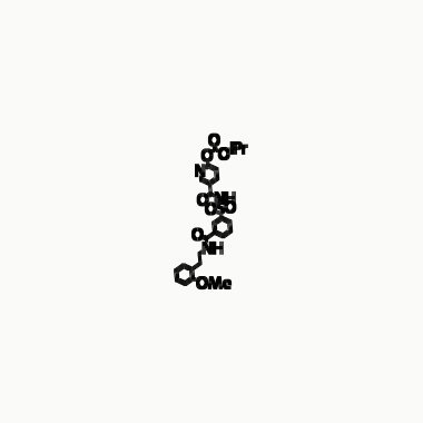 COc1ccccc1CCNC(=O)c1cccc(S(=O)(=O)NC(=O)c2ccc(OC(=O)OC(C)C)nc2)c1